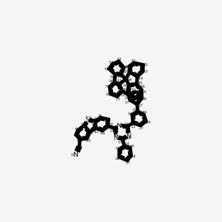 N#Cc1ccc2sc3ccc(-c4nc(-c5ccccc5)nc(-c5cccc(-c6cccc(-c7cccc8c7C7(c9ccccc9-c9ccccc97)c7ccccc7-8)c6)c5)n4)cc3c2c1